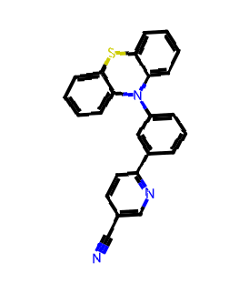 N#Cc1ccc(-c2cccc(N3c4ccccc4Sc4ccccc43)c2)nc1